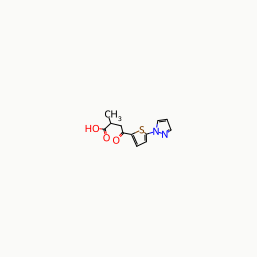 CC(CC(=O)c1ccc(-n2cccn2)s1)C(=O)O